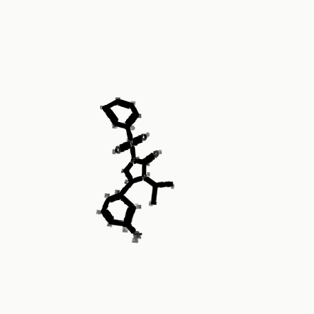 CC(C)N1C(=O)N(S(=O)(=O)c2ccccc2)CC1c1cccc(Br)c1